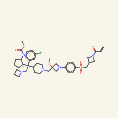 C=CC(=O)N1CC(CS(=O)(=O)c2ccc(N3CC(CN4CCC([C@@](CN5CCC5)(c5cccc(F)c5)[C@H]5CCCC5NC(=O)OC)CC4)(OC)C3)cc2)C1